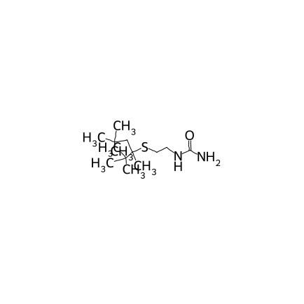 CC(C)(C)CC(C)(SCCNC(N)=O)C(C)(C)C